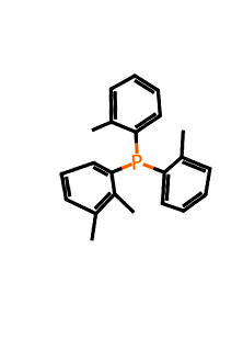 Cc1ccccc1P(c1ccccc1C)c1cccc(C)c1C